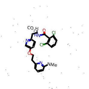 CNc1cccc(CCOc2ccc(C[C@H](NC(=O)c3c(Cl)cccc3Cl)C(=O)O)nc2)n1